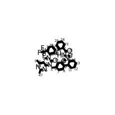 Cc1cc(N(Cc2ccc(-c3ccccc3S(=O)(=O)NC(=O)c3ccccc3Cl)cc2)C(=O)N(C)c2ccccc2C(F)(F)F)nc(C)n1